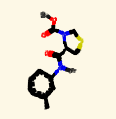 Cc1cccc(N(C(=O)[C@@H]2CSCN2C(=O)OC(C)(C)C)C(C)C)c1